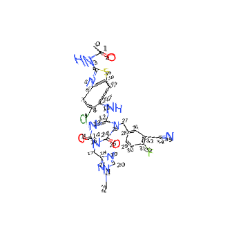 CC(=O)Nc1nc2cc(Cl)c(Nc3nc(=O)n(Cc4ncn(C)n4)c(=O)n3Cc3ccc(F)c(C#N)c3)cc2s1